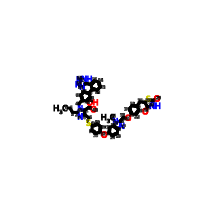 CCCc1nc(CSc2ccc(Oc3ccc4nc(COc5ccc(CC6SC(=O)NC6=O)cc5)n(C)c4c3)cc2)c(C(=O)O)n1Cc1ccc(-c2ccccc2-c2nnn[nH]2)cc1